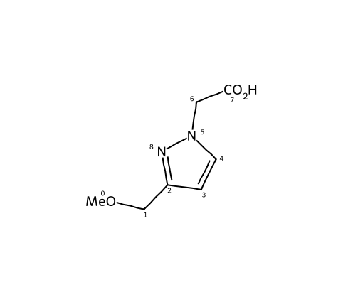 COCc1ccn(CC(=O)O)n1